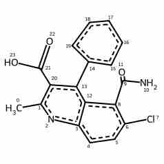 Cc1nc2ccc(Cl)c(C(N)=O)c2c(-c2ccccc2)c1C(=O)O